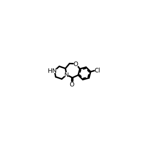 O=C1c2ccc(Cl)cc2OCC2CNCCN12